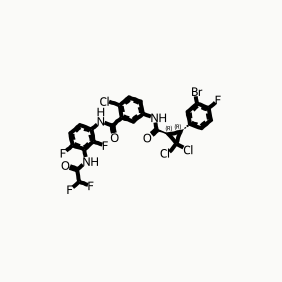 O=C(Nc1ccc(F)c(NC(=O)C(F)F)c1F)c1cc(NC(=O)[C@H]2[C@H](c3ccc(F)c(Br)c3)C2(Cl)Cl)ccc1Cl